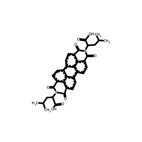 CC(C)CC(C(=O)O)N1C(=O)c2ccc3c4ccc5c6c(ccc(c7ccc(c2c37)C1=O)c64)C(=O)N(C(CC(C)C)C(=O)O)C5=O